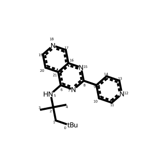 CC(C)(C)CC(C)(C)Nc1nc(-c2ccncc2)nc2cnccc12